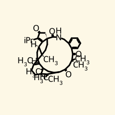 CC(C)C1=C2[C@@H]3CC[C@@H]4[C@]5(C)CCC6C(=O)CC(C)(C)C(=O)c7ccccc7CNC(=O)[C@]2(CC[C@@]3(C)[C@]4(C)CC[C@H]5C6(C)C)CC1=O